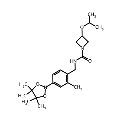 Cc1cc(N2OC(C)(C)C(C)(C)O2)ccc1CNC(=O)N1CC(OC(C)C)C1